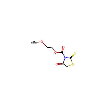 CCCCOCCOC(=O)N1C(=O)CSC1=S